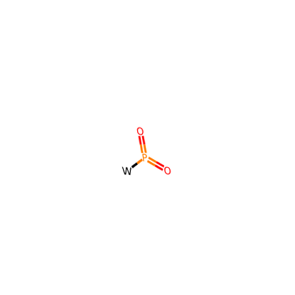 O=[P](=O)[W]